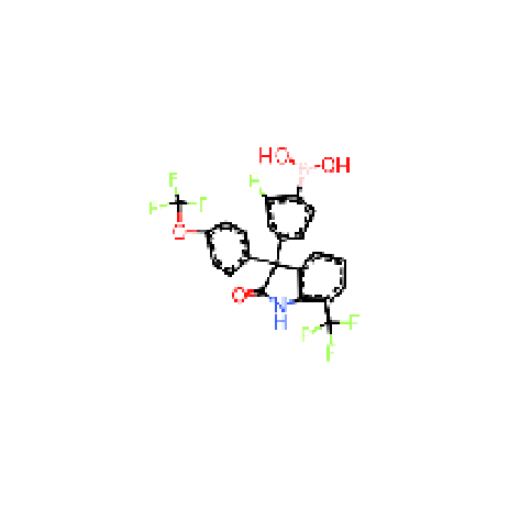 O=C1Nc2c(C(F)(F)F)cccc2[C@@]1(c1ccc(OC(F)(F)F)cc1)c1ccc(B(O)O)c(F)c1